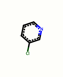 Clc1[c]ccnc1